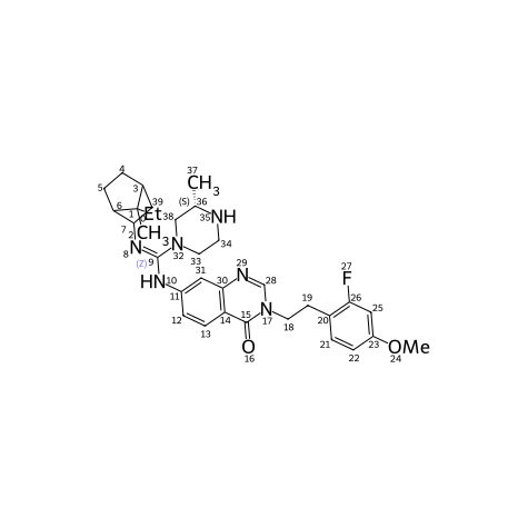 CCC1(C)C2CCC1C(/N=C(/Nc1ccc3c(=O)n(CCc4ccc(OC)cc4F)cnc3c1)N1CCN[C@@H](C)C1)C2